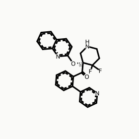 O=C(c1ccccc1-c1cccnc1)[C@@]1(Oc2ccc3ccccc3n2)CNCCC1(F)F